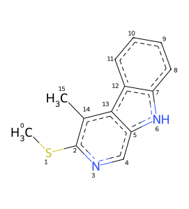 CSc1ncc2[nH]c3ccccc3c2c1C